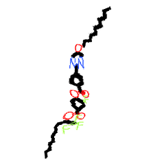 CCCCCCCCCCCOc1cnc(-c2ccc(C(=O)Oc3ccc(C(=O)OC(CCCCCCCC)C(F)(F)F)cc3F)cc2)nc1